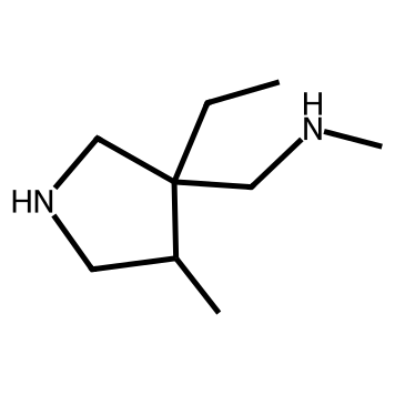 CCC1(CNC)CNCC1C